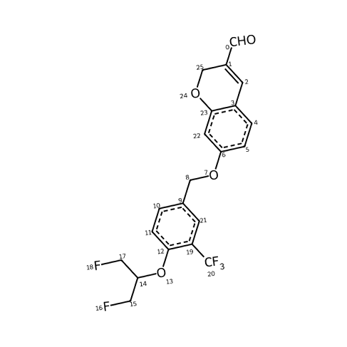 O=CC1=Cc2ccc(OCc3ccc(OC(CF)CF)c(C(F)(F)F)c3)cc2OC1